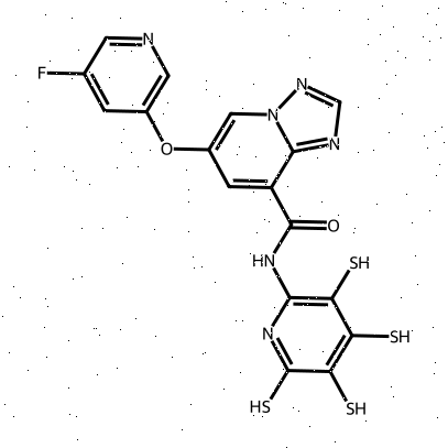 O=C(Nc1nc(S)c(S)c(S)c1S)c1cc(Oc2cncc(F)c2)cn2ncnc12